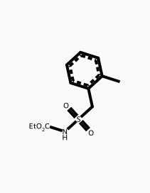 CCOC(=O)NS(=O)(=O)Cc1ccccc1C